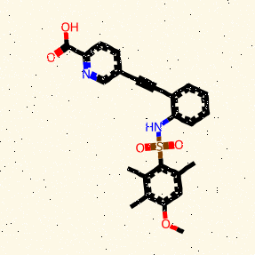 COc1cc(C)c(S(=O)(=O)Nc2ccccc2C#Cc2ccc(C(=O)O)nc2)c(C)c1C